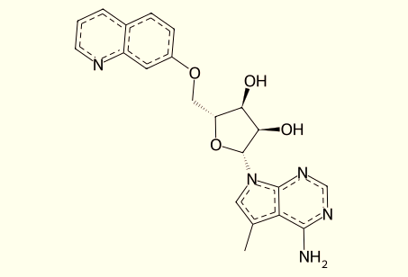 Cc1cn([C@@H]2O[C@H](COc3ccc4cccnc4c3)[C@@H](O)[C@H]2O)c2ncnc(N)c12